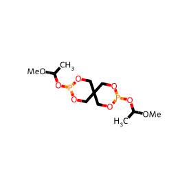 COC(C)OP1OCC2(CO1)COP(OC(C)OC)OC2